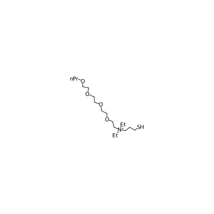 CCCOCCOCCOCCOCC[N+](CC)(CC)CCCS